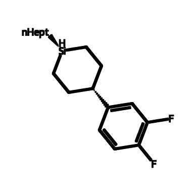 CCCCCCC[Si@H]1CC[C@H](c2ccc(F)c(F)c2)CC1